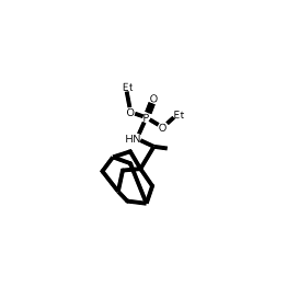 CCOP(=O)(NC(C)C12CC3CC(CC(C3)C1)C2)OCC